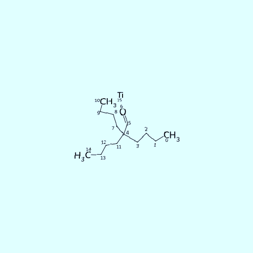 CCCCC([C]=O)(CCCC)CCCC.[Ti]